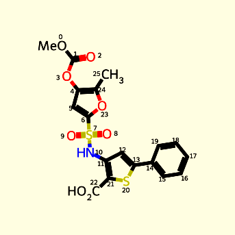 COC(=O)Oc1cc(S(=O)(=O)Nc2cc(-c3ccccc3)sc2C(=O)O)oc1C